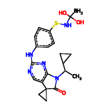 BC(O)(O)NSc1ccc(Nc2ncc3c(n2)N(C(C)C2CC2)C(=O)C32CC2)cc1